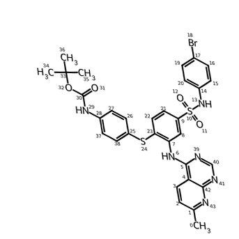 Cc1ccc2c(Nc3cc(S(=O)(=O)Nc4ccc(Br)cc4)ccc3Sc3ccc(NC(=O)OC(C)(C)C)cc3)ncnc2n1